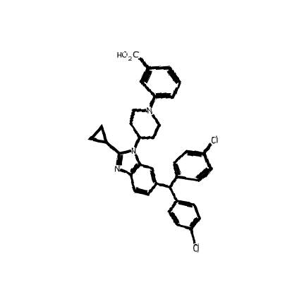 O=C(O)c1cccc(N2CCC(n3c(C4CC4)nc4ccc(C(c5ccc(Cl)cc5)c5ccc(Cl)cc5)cc43)CC2)c1